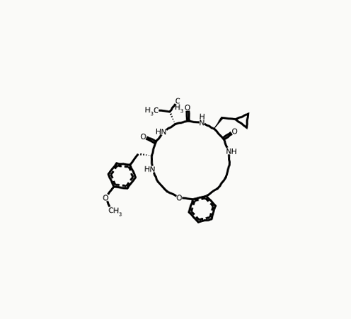 COc1ccc(C[C@H]2NCCOc3ccccc3CCCNC(=O)[C@H](CC3CC3)NC(=O)[C@@H](C(C)C)NC2=O)cc1